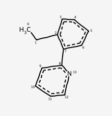 CCc1ccccc1-c1ccccn1